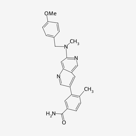 COc1ccc(CN(C)c2cc3ncc(-c4cc(C(N)=O)ccc4C)cc3cn2)cc1